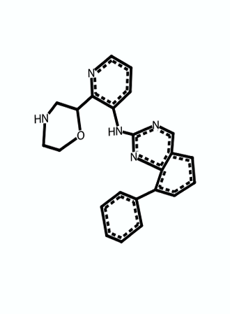 c1ccc(-c2cccc3cnc(Nc4cccnc4C4CNCCO4)nc23)cc1